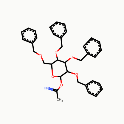 CC(=N)OC1OC(COCc2ccccc2)C(OCc2ccccc2)C(OCc2ccccc2)C1OCc1ccccc1